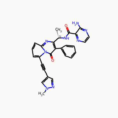 C[C@H](NC(=O)c1nccnc1N)c1nc2cccc(C#Cc3cnn(C)c3)n2c(=O)c1-c1ccccc1